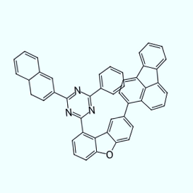 C1=CC2=CC(c3nc(-c4ccccc4)nc(-c4cccc5oc6ccc(-c7ccc8c9c(cccc79)-c7ccccc7-8)cc6c45)n3)=CCC2C=C1